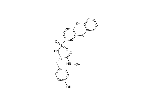 O=C(NO)[C@H](Cc1ccc(O)cc1)NS(=O)(=O)c1ccc2c(c1)Sc1ccccc1O2